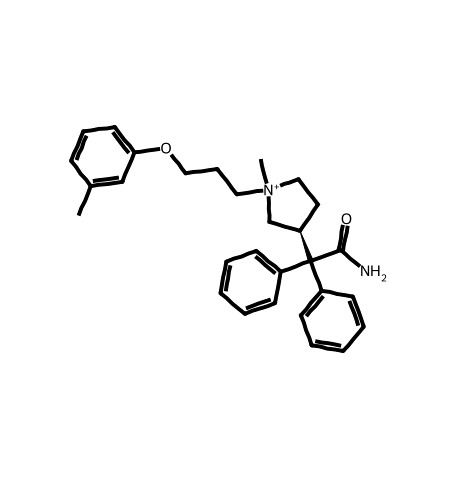 Cc1cccc(OCCC[N+]2(C)CC[C@@H](C(C(N)=O)(c3ccccc3)c3ccccc3)C2)c1